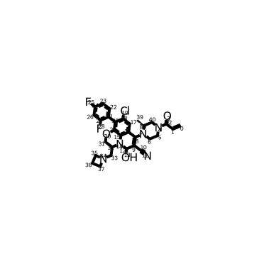 C=CC(=O)N1CCN(C2=C(C#N)C(O)N3c4c2cc(Cl)c(-c2ccc(F)cc2F)c4OCC3CN2CCC2)[C@@H](C)C1